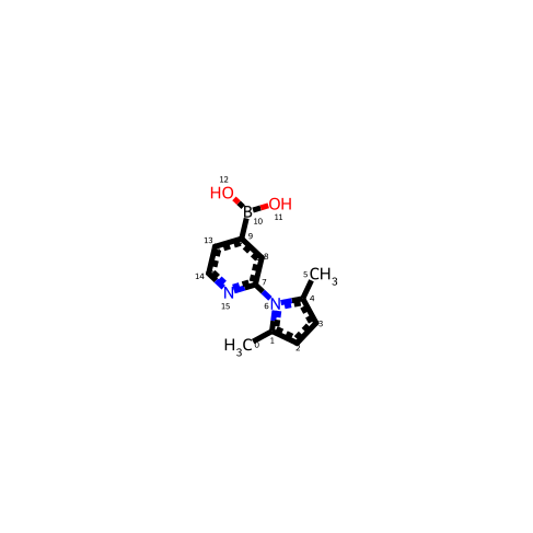 Cc1ccc(C)n1-c1cc(B(O)O)ccn1